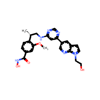 COc1cc(C(=O)NO)ccc1[C@H](C)CNc1cc(-c2cnc3c(ccn3CCO)c2)ncn1